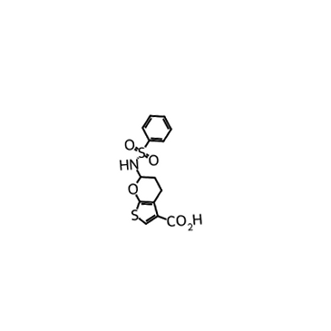 O=C(O)c1csc2c1CCC(NS(=O)(=O)c1ccccc1)O2